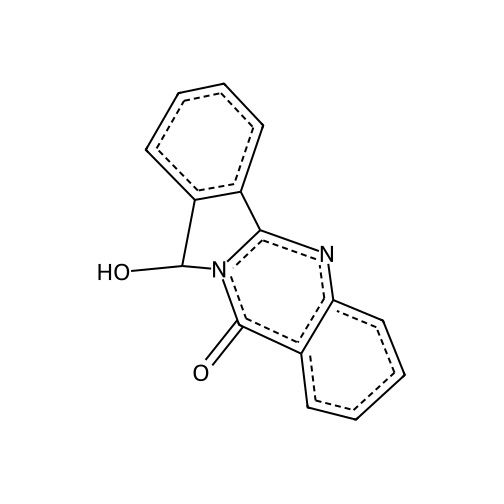 O=c1c2ccccc2nc2n1C(O)c1ccccc1-2